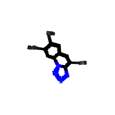 COc1cc2cc(C=O)c3nnnn3c2cc1OC